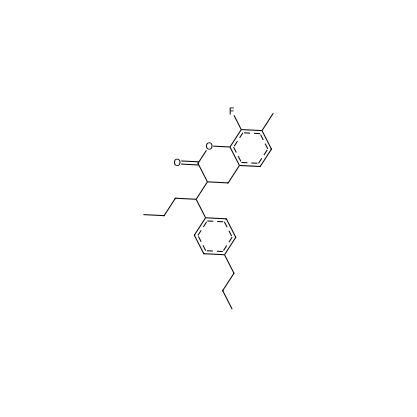 CCCc1ccc(C(CCC)C2Cc3ccc(C)c(F)c3OC2=O)cc1